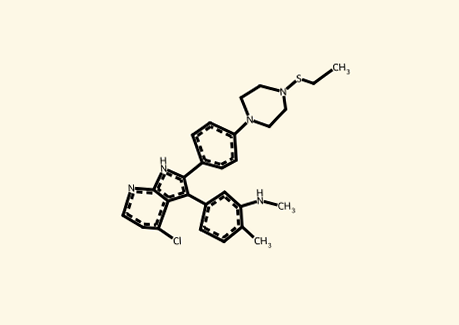 CCSN1CCN(c2ccc(-c3[nH]c4nccc(Cl)c4c3-c3ccc(C)c(NC)c3)cc2)CC1